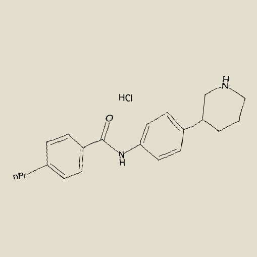 CCCc1ccc(C(=O)Nc2ccc(C3CCCNC3)cc2)cc1.Cl